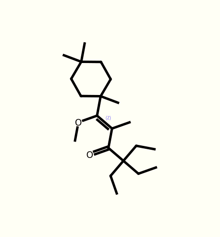 CCC(CC)(CC)C(=O)/C(C)=C(\OC)C1(C)CCC(C)(C)CC1